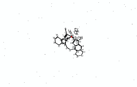 CC1=Cc2c3cc4c(c2CCc2c5c(cc6c2CCCC6)[C@@H]([Zr+2][C@H]13)C(C)=C5)CCCC4.[Cl-].[Cl-]